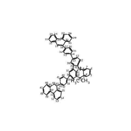 CC1(C)c2ccccc2-n2c3ccc(-c4ccc(-c5cc6ccccc6c6ccccc56)cc4)cc3c3cc(-c4ccc(C5Cc6ccccc6-c6ccccc65)cc4)cc1c32